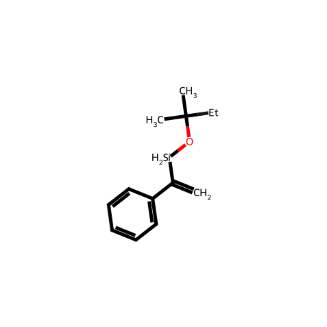 C=C([SiH2]OC(C)(C)CC)c1ccccc1